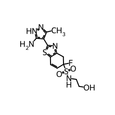 Cc1n[nH]c(N)c1-c1nc2c(s1)C=CC(F)(S(=O)(=O)NCCO)C2